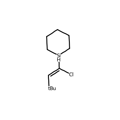 CC(C)(C)C=C(Cl)[SiH]1CCCCC1